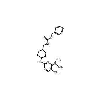 Cc1cnc(NC2CCC(CNC(=O)OCc3ccccc3)CC2)nc1N(C)C